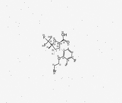 C[C@H]1[C@@H](c2ccc(F)c(F)c2OCCBr)[C@H](C(=O)O)O[C@@]1(C)C(F)(F)F